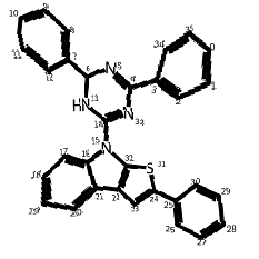 c1ccc(C2=NC(c3ccccc3)NC(n3c4ccccc4c4cc(-c5ccccc5)sc43)=N2)cc1